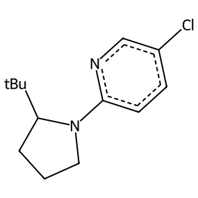 CC(C)(C)C1CCCN1c1ccc(Cl)cn1